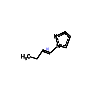 CC/C=C/n1cccn1